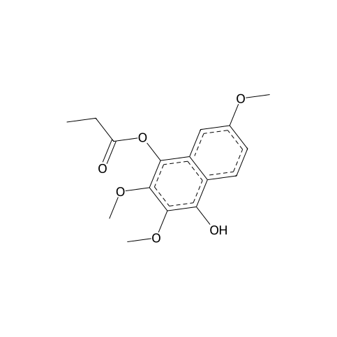 CCC(=O)Oc1c(OC)c(OC)c(O)c2ccc(OC)cc12